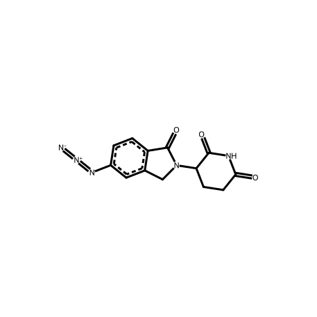 [N-]=[N+]=Nc1ccc2c(c1)CN(C1CCC(=O)NC1=O)C2=O